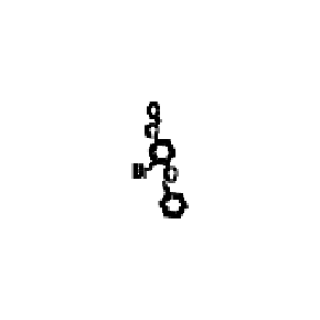 O=COc1ccc(OCc2ccccc2)c(Br)c1